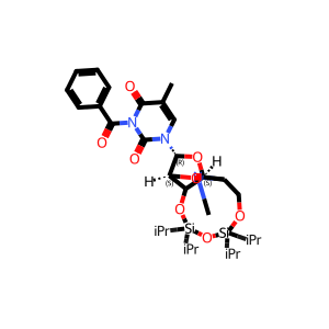 Cc1cn([C@@H]2O[C@@H]3C4O[Si](C(C)C)(C(C)C)O[Si](C(C)C)(C(C)C)OCC3N(C)O[C@@H]42)c(=O)n(C(=O)c2ccccc2)c1=O